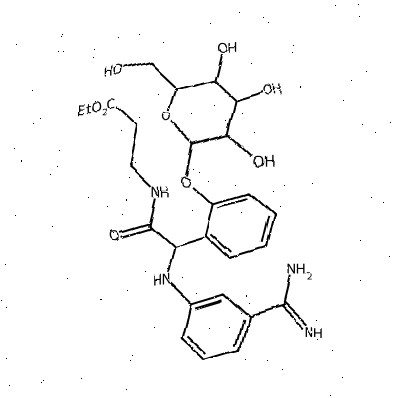 CCOC(=O)CCNC(=O)C(Nc1cccc(C(=N)N)c1)c1ccccc1OC1OC(CO)C(O)C(O)C1O